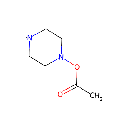 CC(=O)ON1CC[N]CC1